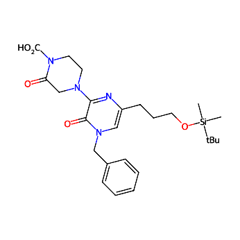 CC(C)(C)[Si](C)(C)OCCCc1cn(Cc2ccccc2)c(=O)c(N2CCN(C(=O)O)C(=O)C2)n1